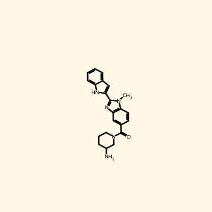 Cn1c(-c2cc3ccccc3[nH]2)nc2cc(C(=O)N3CCCC(N)C3)ccc21